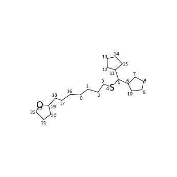 C(CCCSC(C1CCCC1)C1CCCC1)CCCC1CCCO1